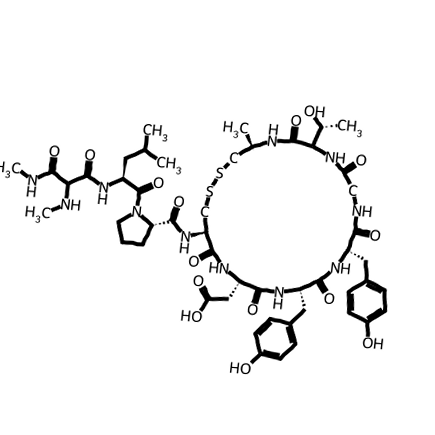 CNC(=O)C(NC)C(=O)N[C@@H](CC(C)C)C(=O)N1CCC[C@H]1C(=O)N[C@H]1CSSC[C@@H](C)NC(=O)C([C@@H](C)O)NC(=O)CNC(=O)[C@H](Cc2ccc(O)cc2)NC(=O)[C@H](Cc2ccc(O)cc2)NC(=O)[C@H](CC(=O)O)NC1=O